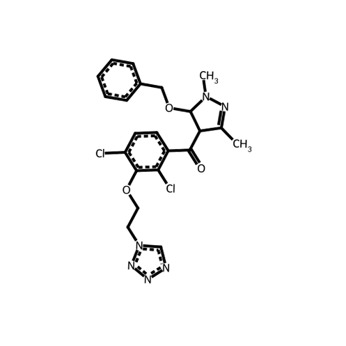 CC1=NN(C)C(OCc2ccccc2)C1C(=O)c1ccc(Cl)c(OCCn2cnnn2)c1Cl